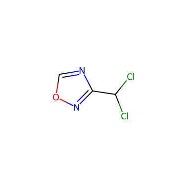 ClC(Cl)c1ncon1